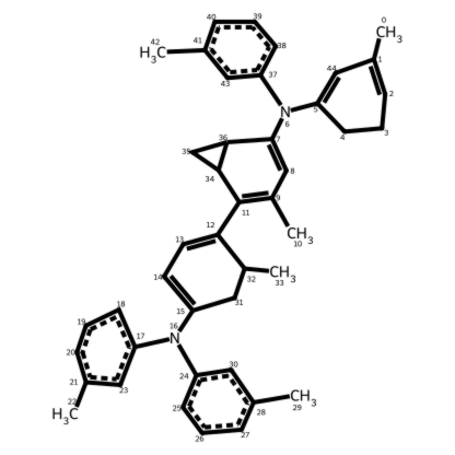 CC1=CCCC(N(C2=CC(C)=C(C3=CC=C(N(c4cccc(C)c4)c4cccc(C)c4)CC3C)C3CC23)c2cccc(C)c2)=C1